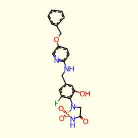 O=C1CN(c2c(O)cc(CNc3ccc(OCc4ccccc4)cn3)cc2F)S(=O)(=O)N1